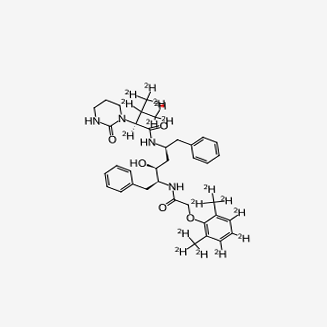 [2H]c1c([2H])c(C([2H])([2H])[2H])c(OCC(=O)N[C@@H](Cc2ccccc2)[C@@H](O)C[C@H](Cc2ccccc2)NC(=O)[C@@]([2H])(N2CCCNC2=O)C([2H])(C([2H])([2H])[2H])C([2H])([2H])[2H])c(C([2H])([2H])[2H])c1[2H]